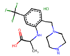 CC(Nc1cc(C(F)(F)F)ccc1CN1CCNCC1)C(=O)O.Cl